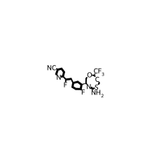 N#Cc1ccc(/C(F)=C/c2ccc(F)c([C@H]3CO[C@@H](C(F)(F)F)CCS/C(N)=N\3)c2)nc1